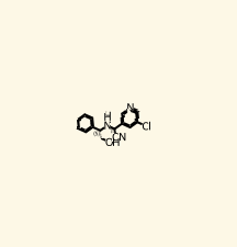 N#C[C@@H](N[C@H](CO)c1ccccc1)c1cncc(Cl)c1